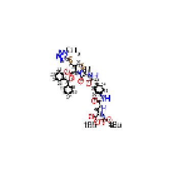 Cn1nnnc1SCC1=C(C(=O)OC(c2ccccc2)c2ccccc2)N2C(=O)[C@@H](NC(=O)Cc3ccc(NC(=O)CC[C@@H](NC(=O)OC(C)(C)C)C(=O)OC(C)(C)C)cc3)[C@@H]2SC1